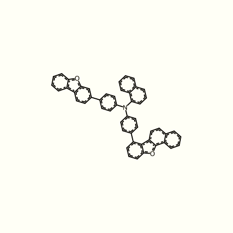 c1ccc2c(N(c3ccc(-c4ccc5c(c4)oc4ccccc45)cc3)c3ccc(-c4cccc5oc6c7ccccc7ccc6c45)cc3)cccc2c1